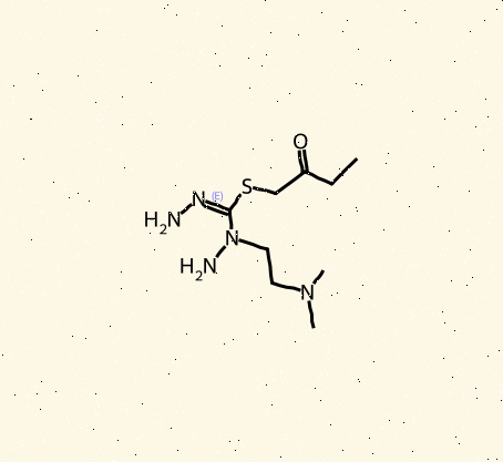 CCC(=O)CS/C(=N/N)N(N)CCN(C)C